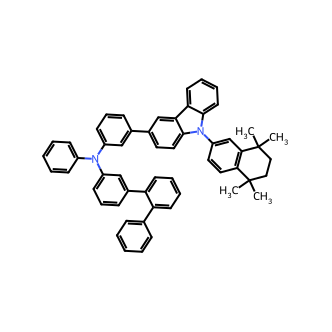 CC1(C)CCC(C)(C)c2cc(-n3c4ccccc4c4cc(-c5cccc(N(c6ccccc6)c6cccc(-c7ccccc7-c7ccccc7)c6)c5)ccc43)ccc21